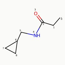 [CH2]CC(=O)NCC1CC1